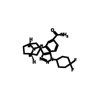 NC(=O)c1cccc([C@H]2C[C@H]3CC[C@@H](C2)N3Cc2cn(C3CCC(F)(F)CC3)nn2)c1